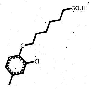 Cc1ccc(OCCCCCCS(=O)(=O)O)c(Cl)c1